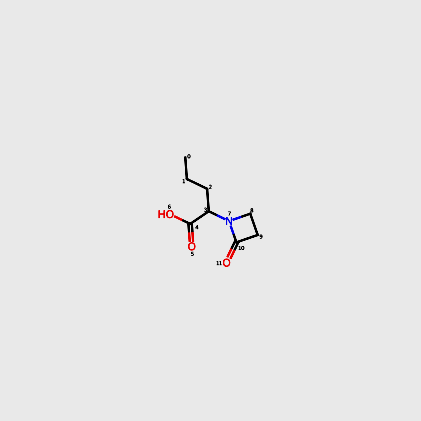 CCCC(C(=O)O)N1CCC1=O